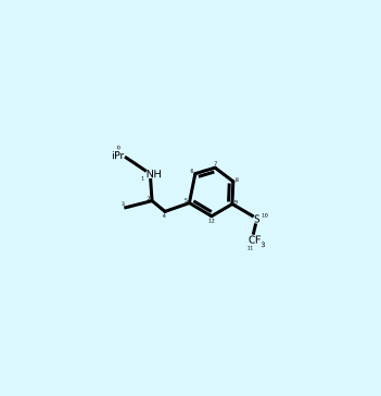 CC(C)NC(C)Cc1cccc(SC(F)(F)F)c1